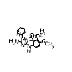 COc1ccc(Nc2nc(N)n(-c3ccccn3)n2)c(OC)c1OC